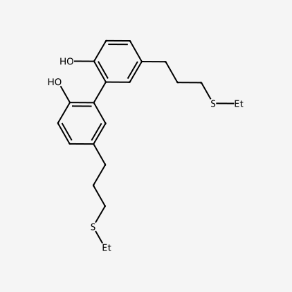 CCSCCCc1ccc(O)c(-c2cc(CCCSCC)ccc2O)c1